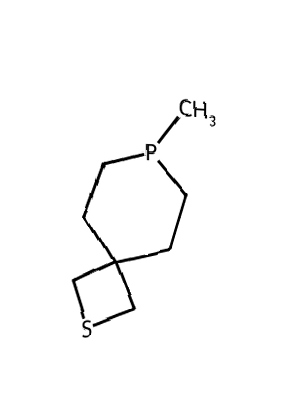 CP1CCC2(CC1)CSC2